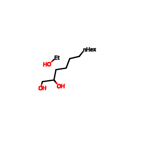 CCCCCCCCCCC(O)CO.CCO